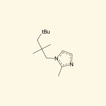 Cc1nccn1CC(C)(C)CC(C)(C)C